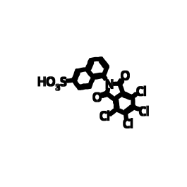 O=C1c2c(Cl)c(Cl)c(Cl)c(Cl)c2C(=O)N1c1cccc2cc(S(=O)(=O)O)ccc12